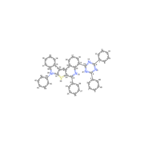 c1ccc(-c2nc(-c3ccccc3)nc(-c3cccc4c3nc(-c3ccccc3)c3sc5c(c6ccccc6n5-c5ccccc5)c34)n2)cc1